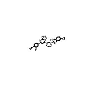 N#Cc1ccc(-c2cc(N3CCOC(c4nc5cc(Cl)ccc5[nH]4)C3)nc(N)n2)cc1F